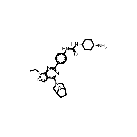 CCn1ncc2c(N3CC4CCC(C3)O4)nc(-c3ccc(NC(=O)N[C@H]4CC[C@H](N)CC4)cc3)nc21